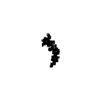 CCOc1ccc(-c2cncc(C(=O)Nc3nc4c(F)ccc(OC)c4[nH]3)n2)cn1